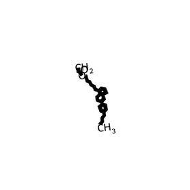 C=CC(=O)OCCCCCCc1cccc2c1CCC(c1ccc(CCCCC)cc1)=C2